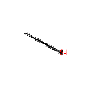 CCCCCCCCCCCCCCCCCCCCCCCCCCCCCCCCCC(O)O